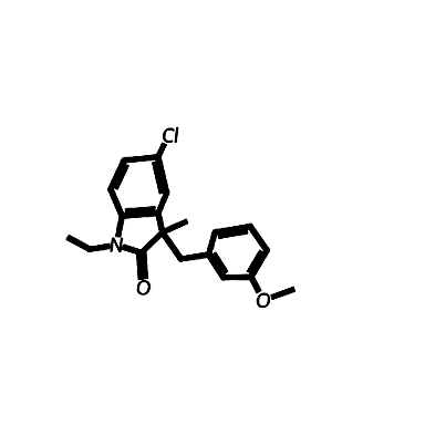 CCN1C(=O)C(C)(Cc2cccc(OC)c2)c2cc(Cl)ccc21